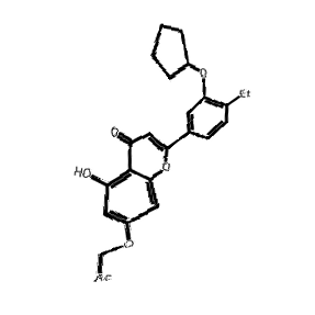 CCc1ccc(-c2cc(=O)c3c(O)cc(OCC(C)=O)cc3o2)cc1OC1CCCC1